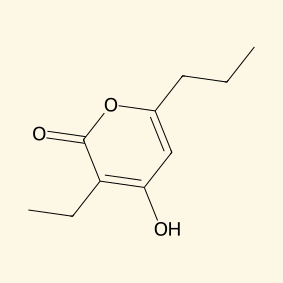 CCCc1cc(O)c(CC)c(=O)o1